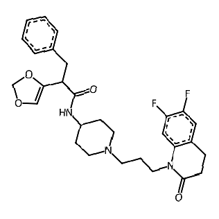 O=C(NC1CCN(CCCN2C(=O)CCc3cc(F)c(F)cc32)CC1)C(Cc1ccccc1)C1=COCO1